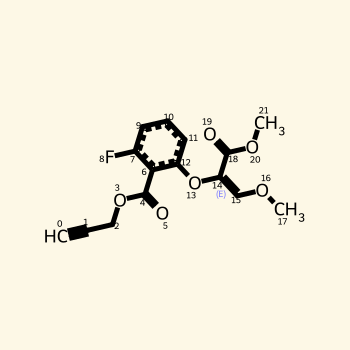 C#CCOC(=O)c1c(F)cccc1O/C(=C/OC)C(=O)OC